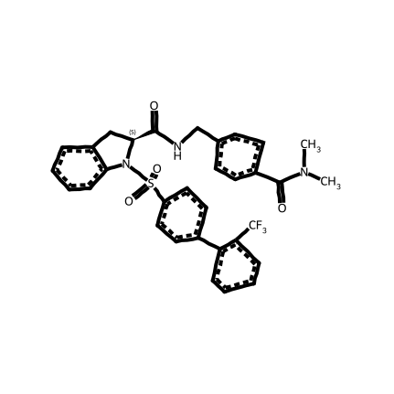 CN(C)C(=O)c1ccc(CNC(=O)[C@@H]2Cc3ccccc3N2S(=O)(=O)c2ccc(-c3ccccc3C(F)(F)F)cc2)cc1